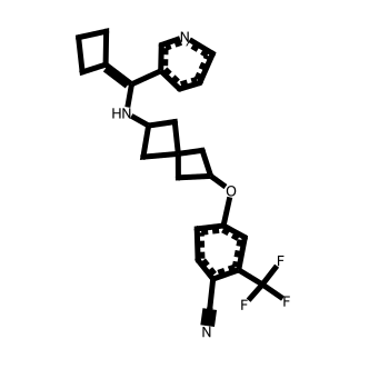 N#Cc1ccc(OC2CC3(CC(NC(=C4CCC4)c4cccnc4)C3)C2)cc1C(F)(F)F